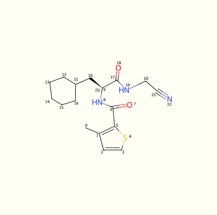 Cc1ccsc1C(=O)N[C@@H](CC1CCCCC1)C(=O)NCC#N